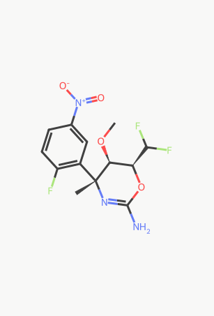 CO[C@H]1[C@@H](C(F)F)OC(N)=N[C@]1(C)c1cc([N+](=O)[O-])ccc1F